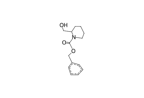 O=C(OCc1ccccc1)N1CCCCC1CO